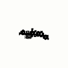 Cc1ccc(-c2cnc3ccc(Oc4c(F)c(F)cc(NC(=O)Nc5cccc(F)c5)c4F)cc3n2)cn1